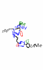 CCCCCn1c2nc(Br)[nH]c2c(=O)n2c(CCc3nc(-c4ccc(OC)cc4Cl)no3)nnc12